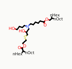 CCCCCCCCC(CCCCCC)COC(=O)CCCCCN(CCCCO)CC(O)CSCCOC(=O)C(CCCCCC)CCCCCCCC